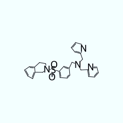 O=S(=O)(c1cccc(CN(Cc2ccccn2)Cc2ccccn2)c1)N1CCc2ccccc2C1